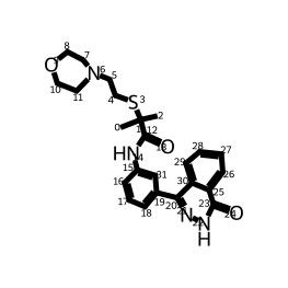 CC(C)(SCCN1CCOCC1)C(=O)Nc1cccc(-c2n[nH]c(=O)c3ccccc23)c1